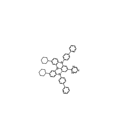 c1ccc(-c2ccc(N3c4ccc(C5CCCCC5)cc4B4c5cc(C6CCCCC6)ccc5N(c5ccc(-c6ccccc6)cc5)c5cc(-c6ncncn6)cc3c54)cc2)cc1